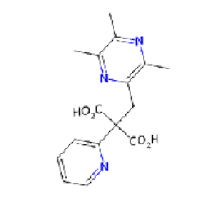 Cc1nc(C)c(CC(C(=O)O)(C(=O)O)c2ccccn2)nc1C